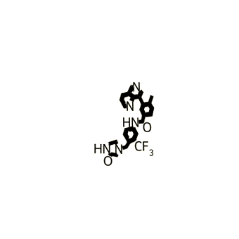 Cc1ccc(C(=O)Nc2ccc(CN3CCNC(=O)C3)c(C(F)(F)F)c2)cc1-c1cncc2cccnc12